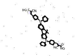 CC1(C)c2cc(N(c3ccccc3)c3ccc(/C=C(\C#N)C(=O)O)cc3)ccc2-c2ccc(N(c3ccccc3)c3ccc(/C=C(\C#N)C(=O)N=O)cc3)cc21